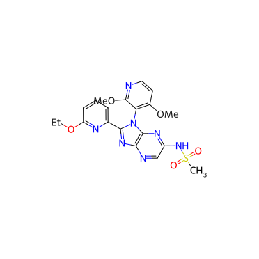 CCOc1cccc(-c2nc3ncc(NS(C)(=O)=O)nc3n2-c2c(OC)ccnc2OC)n1